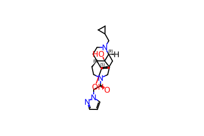 O=C(Cn1cccn1)N1CC[C@]23CCN(CC4CC4)[C@H](Cc4ccc(O)cc42)[C@]3(O)CC1